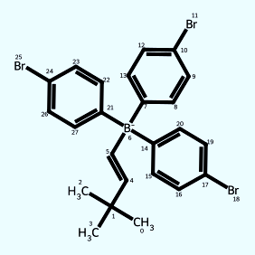 CC(C)(C)C=C[B-](c1ccc(Br)cc1)(c1ccc(Br)cc1)c1ccc(Br)cc1